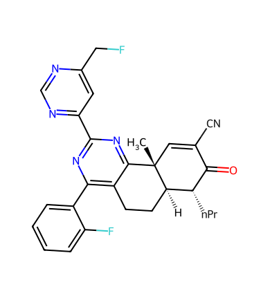 CCC[C@H]1C(=O)C(C#N)=C[C@@]2(C)c3nc(-c4cc(CF)ncn4)nc(-c4ccccc4F)c3CC[C@H]12